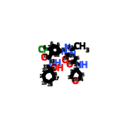 Cc1nn(-c2ccc(Cl)c(C(=O)NCC3(O)CCCCCC3)c2)c(=O)n1CC(=O)NC1CCOCC1